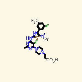 Cc1nc(Nc2nc(-c3cc(F)cc(C(F)(F)F)c3)c(N(C)C(C)C)s2)c(F)c(N2CCN(CCC(=O)O)CC2)n1